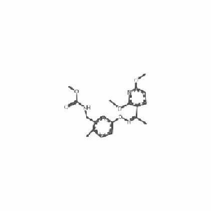 COC(=O)NCc1cc(ON=C(C)c2ccc(OC)nc2OC)ccc1C